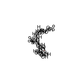 CC[C@H](C)[C@H](NC(=O)[C@@H]1CCCN1C(=O)[C@@H](NC(=O)CNC(=O)OCC1c2ccccc2-c2ccccc21)[C@@H](C)CC)C(=O)NCC(=O)NCC(=O)N[C@@H](Cc1cn(C(c2ccccc2)(c2ccccc2)c2ccccc2)cn1)C(=O)N[C@@H](C)C(=O)N[C@@H](CCC(=O)OC(C)(C)C)C(=O)NCC(=O)N[C@H](C(=O)N[C@@H](Cc1ccccc1)C(=O)N[C@H](C(=O)O)[C@@H](C)O)[C@@H](C)OC(C)(C)C